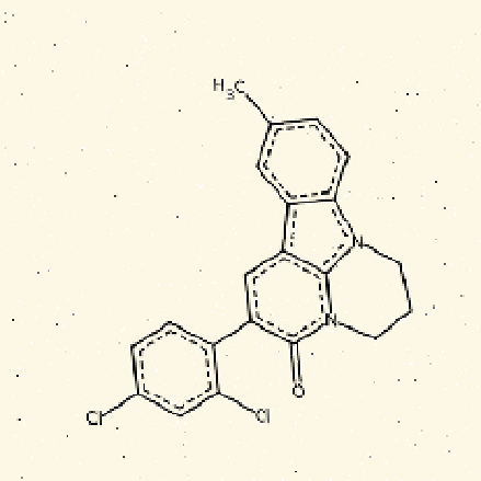 Cc1ccc2c(c1)c1cc(-c3ccc(Cl)cc3Cl)c(=O)n3c1n2CCC3